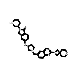 O=C1c2ccc(O[C@H]3CCN(Cc4ccc5nc(N6CC7(CCOCC7)C6)ncc5c4)C3)cc2CN1C1CCCNC1